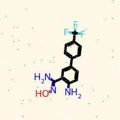 N/C(=N\O)c1cc(-c2ccc(C(F)(F)F)cc2)ccc1N